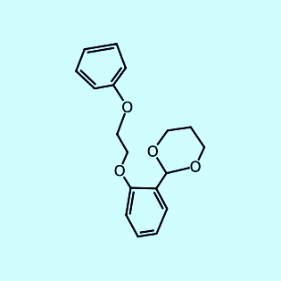 c1ccc(OCCOc2ccccc2C2OCCCO2)cc1